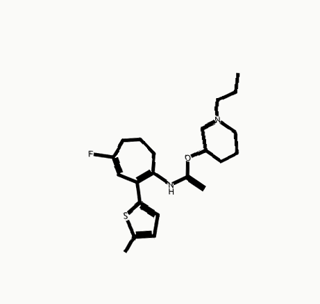 C=C(NC1=C(c2ccc(C)s2)C=C(F)CCC1)OC1CCCN(CCC)C1